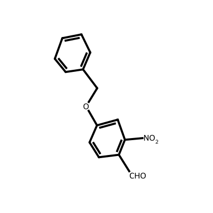 O=Cc1ccc(OCc2ccccc2)cc1[N+](=O)[O-]